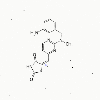 CN(Cc1cccc(N)c1)c1nccc(/C=C2/SC(=O)NC2=O)n1